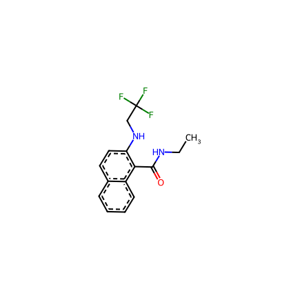 CCNC(=O)c1c(NCC(F)(F)F)ccc2ccccc12